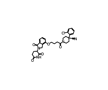 N#CC1(c2ccccc2Cl)CCN(C(=O)CCCOc2cccc3c2CN(C2CCC(=O)NC2=O)C3=O)CC1